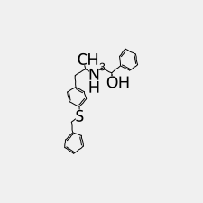 CC(Cc1ccc(SCc2ccccc2)cc1)NC[C@H](O)c1ccccc1